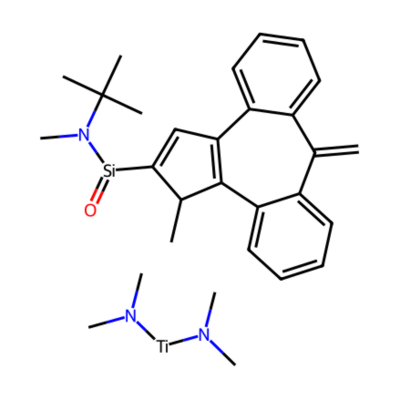 C=C1c2ccccc2C2=C(c3ccccc31)C(C)C([Si](=O)N(C)C(C)(C)C)=C2.C[N](C)[Ti][N](C)C